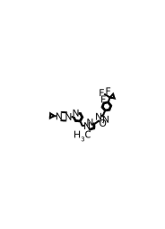 Cc1cc(-c2nc(-c3ccc(C4(C(F)(F)F)CC4)cc3)no2)nn1Cc1ccnc(N2CCN(C3CC3)CC2)c1